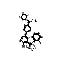 C[C@H](c1ccc(-c2cnc(N)c(-c3nnnn3-c3cccc(F)c3F)c2)cc1)N1CCCC1